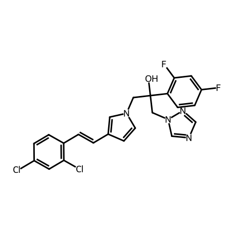 OC(Cn1ccc(C=Cc2ccc(Cl)cc2Cl)c1)(Cn1cncn1)c1ccc(F)cc1F